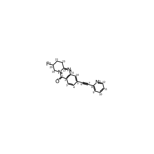 O=c1c2ccc(C#Cc3ccccn3)cc2nc2n1CC(F)CC2